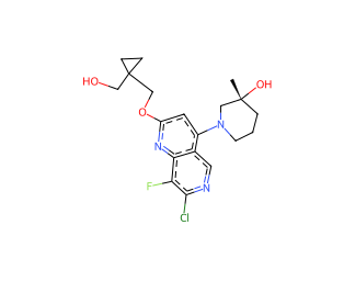 C[C@@]1(O)CCCN(c2cc(OCC3(CO)CC3)nc3c(F)c(Cl)ncc23)C1